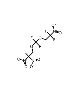 O=[N+]([O-])C(F)(F)COC(F)(F)OCC(F)([N+](=O)[O-])[N+](=O)[O-]